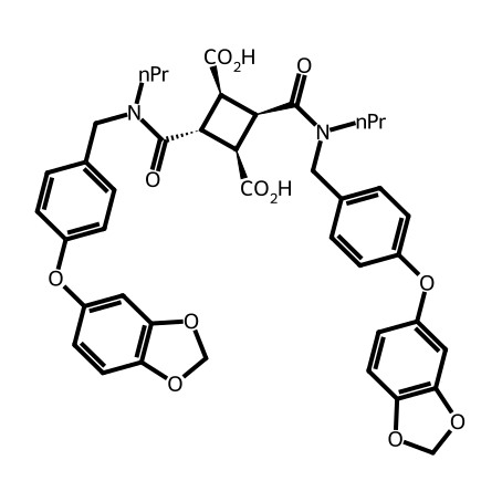 CCCN(Cc1ccc(Oc2ccc3c(c2)OCO3)cc1)C(=O)[C@H]1[C@H](C(=O)O)[C@H](C(=O)N(CCC)Cc2ccc(Oc3ccc4c(c3)OCO4)cc2)[C@@H]1C(=O)O